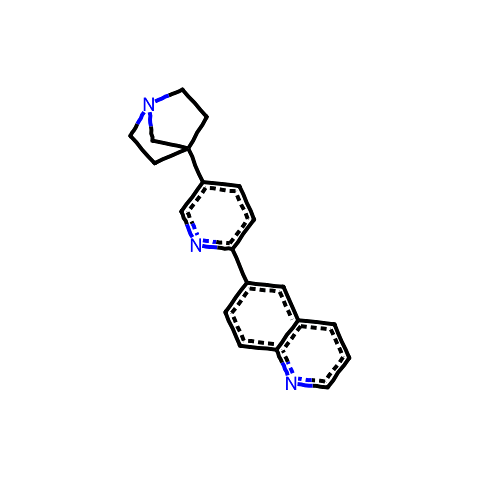 c1cnc2ccc(-c3ccc(C45CCN(CC4)C5)cn3)cc2c1